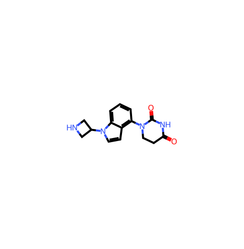 O=C1CCN(c2cccc3c2ccn3C2CNC2)C(=O)N1